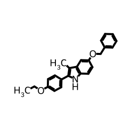 CCOc1ccc(-c2[nH]c3ccc(OCc4ccccc4)cc3c2C)cc1